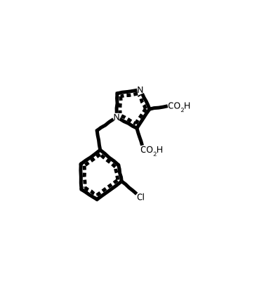 O=C(O)c1ncn(Cc2cccc(Cl)c2)c1C(=O)O